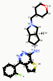 Fc1ccccc1-c1nnc(N[C@@H]2CC3CN(CC4CCOCC4)C[C@H]3C2)c2sccc12